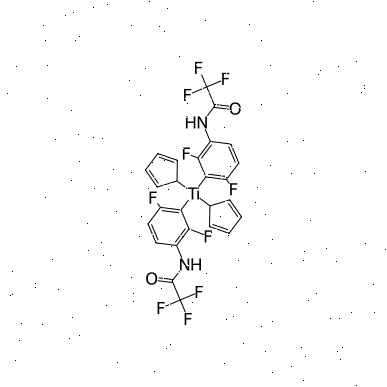 O=C(Nc1ccc(F)[c]([Ti]([c]2c(F)ccc(NC(=O)C(F)(F)F)c2F)([CH]2C=CC=C2)[CH]2C=CC=C2)c1F)C(F)(F)F